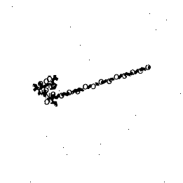 CCCN(C(=O)CCOCCOCCOCCOCCOCCOCCOCCOCCOCCOCCOCCOC)C(=O)NCC(=O)N(C)C(C(C)CC)C(CC(=O)N1CCCC1C(OC)C(C)C)OC